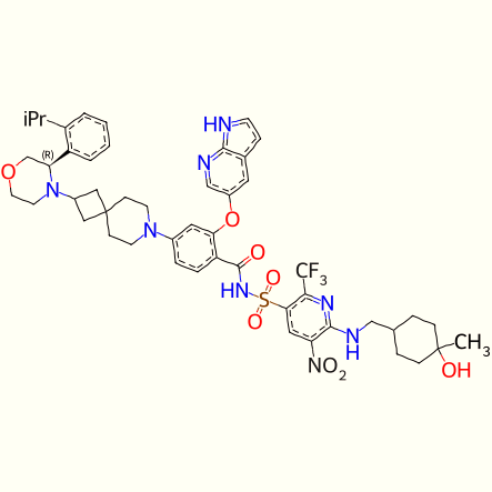 CC(C)c1ccccc1[C@@H]1COCCN1C1CC2(CCN(c3ccc(C(=O)NS(=O)(=O)c4cc([N+](=O)[O-])c(NCC5CCC(C)(O)CC5)nc4C(F)(F)F)c(Oc4cnc5[nH]ccc5c4)c3)CC2)C1